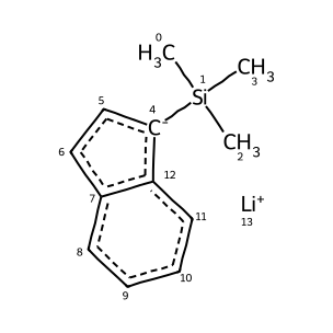 C[Si](C)(C)[c-]1ccc2ccccc21.[Li+]